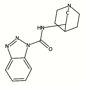 O=C(NC1CN2CCC1CC2)n1nnc2ccccc21